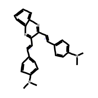 CN(C)c1ccc(/C=C/c2nc3ccccc3nc2/C=C/c2ccc(N(C)C)cc2)cc1